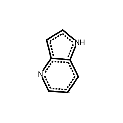 [c]1cnc2cc[nH]c2c1